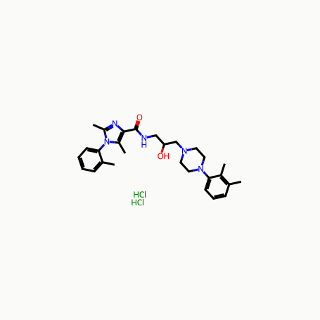 Cc1ccccc1-n1c(C)nc(C(=O)NCC(O)CN2CCN(c3cccc(C)c3C)CC2)c1C.Cl.Cl